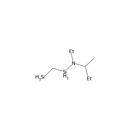 CCC(C)N(CC)[SiH2]C[SiH3]